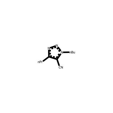 CCCCn1nnc(CCC)c1C#N